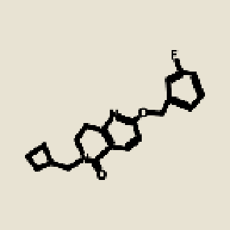 O=C1c2ccc(OCc3cccc(F)c3)nc2CCN1CC1CCC1